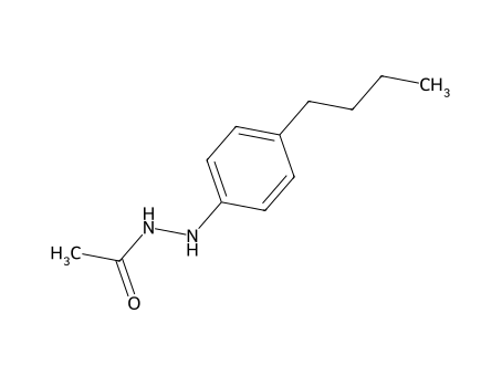 CCCCc1ccc(NNC(C)=O)cc1